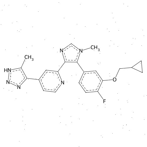 Cc1[nH]nnc1-c1ccnc(-c2ncn(C)c2-c2ccc(F)c(OCC3CC3)c2)c1